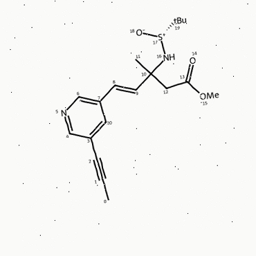 CC#Cc1cncc(/C=C/C(C)(CC(=O)OC)N[S@+]([O-])C(C)(C)C)c1